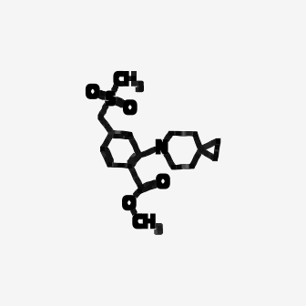 COC(=O)c1ccc(CS(C)(=O)=O)cc1N1CCC2(CC1)CC2